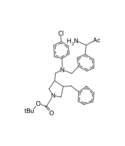 CC(=O)C(N)c1cccc(CN(CC2CN(C(=O)OC(C)(C)C)CC2Cc2ccccc2)c2ccc(Cl)cc2)c1